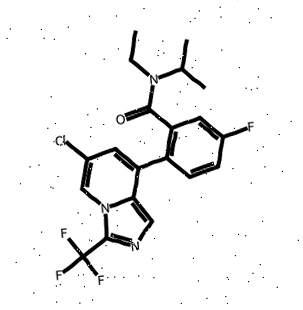 CCN(C(=O)c1cc(F)ccc1-c1cc(Cl)cn2c(C(F)(F)F)ncc12)C(C)C